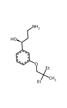 CCC(C)(CC)COc1cccc([C@@H](O)CCN)c1